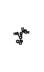 O=C(c1ccc(N2CCC(Nc3ccc(F)cn3)C2)c(CCO)c1)c1ccccc1Cl